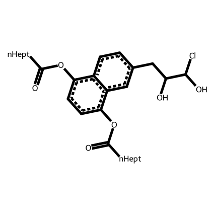 CCCCCCCC(=O)Oc1ccc(OC(=O)CCCCCCC)c2cc(CC(O)C(O)Cl)ccc12